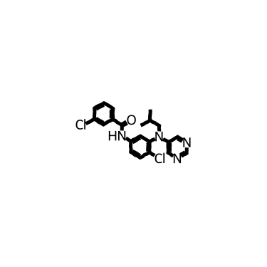 CC(C)CN(c1cncnc1)c1cc(NC(=O)c2cccc(Cl)c2)ccc1Cl